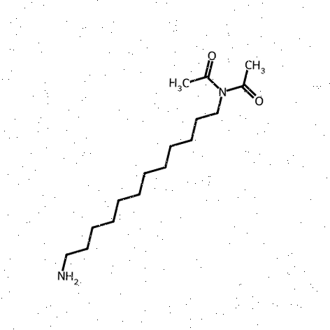 CC(=O)N(CCCCCCCCCCCCN)C(C)=O